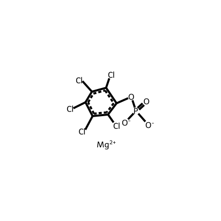 O=P([O-])([O-])Oc1c(Cl)c(Cl)c(Cl)c(Cl)c1Cl.[Mg+2]